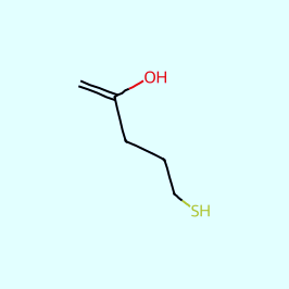 C=C(O)CCCS